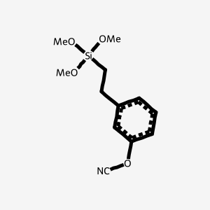 CO[Si](CCc1cccc(OC#N)c1)(OC)OC